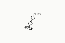 CCCCCCC1CCC(c2ccc(B(O)O)cc2)CC1